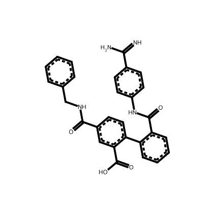 N=C(N)c1ccc(NC(=O)c2ccccc2-c2ccc(C(=O)NCc3ccccc3)cc2C(=O)O)cc1